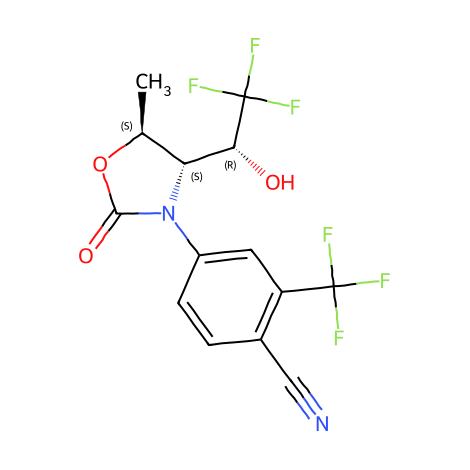 C[C@@H]1OC(=O)N(c2ccc(C#N)c(C(F)(F)F)c2)[C@H]1[C@@H](O)C(F)(F)F